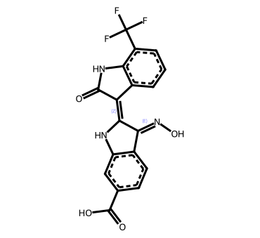 O=C1Nc2c(cccc2C(F)(F)F)/C1=C1/Nc2cc(C(=O)O)ccc2/C1=N\O